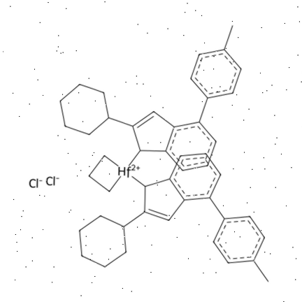 Cc1ccc(-c2cccc3c2C=C(C2CCCCC2)[CH]3[Hf+2]2([CH]3C(C4CCCCC4)=Cc4c(-c5ccc(C)cc5)cccc43)[CH2]C[CH2]2)cc1.[Cl-].[Cl-]